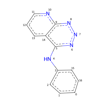 c1ccc(Nc2nnnc3ncccc23)cc1